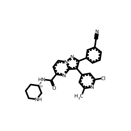 Cc1cc(-c2c(-c3cccc(C#N)c3)nn3ccc(C(=O)N[C@H]4CCCNC4)nc23)cc(Cl)n1